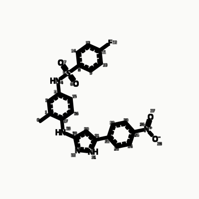 Cc1cc(NS(=O)(=O)c2ccc(F)cc2)ccc1Nc1cc(-c2ccc([N+](=O)[O-])cc2)[nH]n1